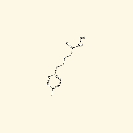 Cc1ccc(SCCCC(=O)NO)cc1